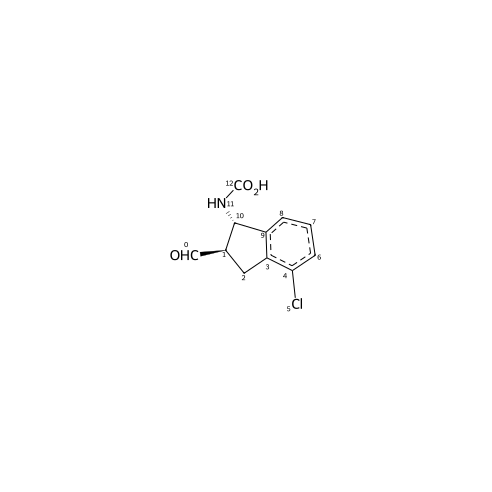 O=C[C@@H]1Cc2c(Cl)cccc2[C@H]1NC(=O)O